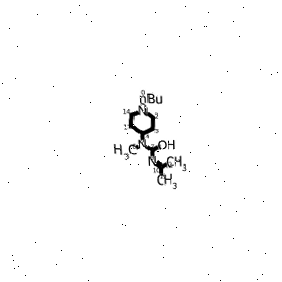 CCCCN1CCC(N(C)C(O)N=C(C)C)CC1